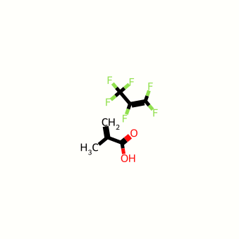 C=C(C)C(=O)O.FC(F)=C(F)C(F)(F)F